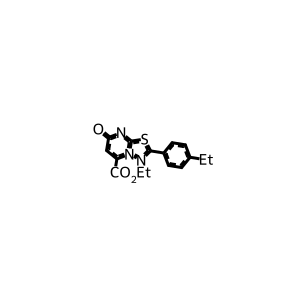 CCOC(=O)c1cc(=O)nc2sc(-c3ccc(CC)cc3)nn12